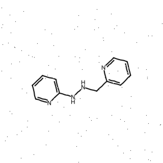 c1ccc(CNNc2ccccn2)nc1